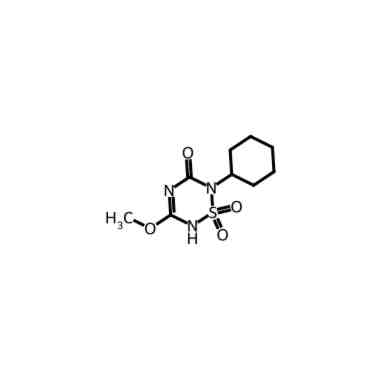 COC1=NC(=O)N(C2CCCCC2)S(=O)(=O)N1